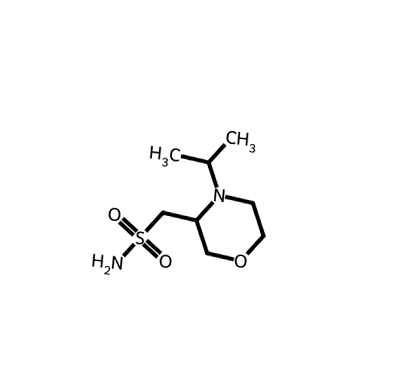 CC(C)N1CCOCC1CS(N)(=O)=O